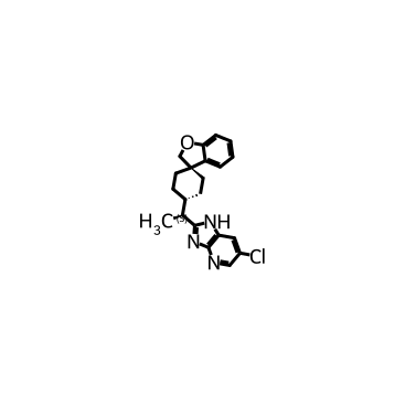 C[C@H](c1nc2ncc(Cl)cc2[nH]1)[C@H]1CC[C@@]2(CC1)COc1ccccc12